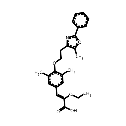 CCO/C(=C\c1cc(C)c(OCCc2nc(-c3ccccc3)oc2C)c(C)c1)C(=O)O